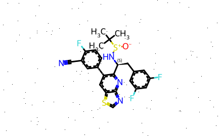 CC(C)(C)[S+]([O-])N[C@@H](Cc1cc(F)cc(F)c1)c1nc2ncsc2cc1-c1ccc(F)c(C#N)c1